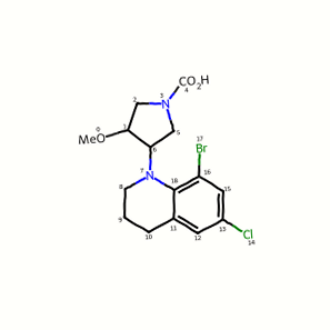 COC1CN(C(=O)O)CC1N1CCCc2cc(Cl)cc(Br)c21